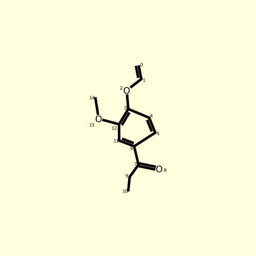 C=COc1ccc(C(=O)CC)cc1OC